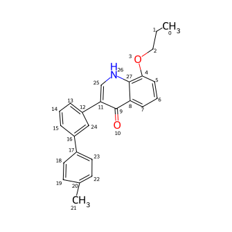 CCCOc1cccc2c(=O)c(-c3cccc(-c4ccc(C)cc4)c3)c[nH]c12